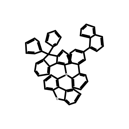 c1ccc(C2(c3ccccc3)c3ccccc3-c3c(N(c4ccccc4-c4cccc(-c5cccc6ccccc56)c4)c4cccc5oc6ccccc6c45)cccc32)cc1